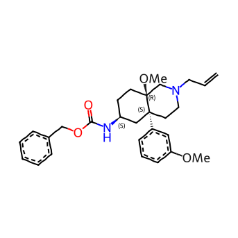 C=CCN1CC[C@@]2(c3cccc(OC)c3)C[C@@H](NC(=O)OCc3ccccc3)CC[C@]2(OC)C1